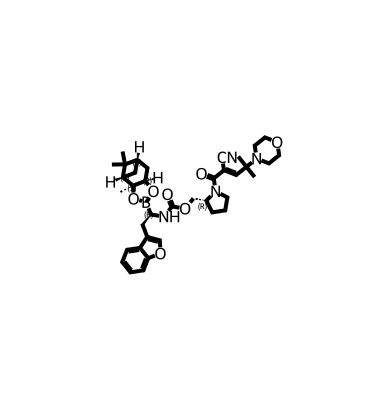 CC1(C)[C@@H]2C[C@H]3OB([C@H](Cc4coc5ccccc45)NC(=O)OC[C@H]4CCCN4C(=O)C(C#N)=CC(C)(C)N4CCOCC4)O[C@@]3(C)[C@H]1C2